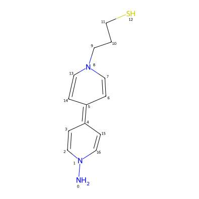 NN1C=CC(=C2C=CN(CCCS)C=C2)C=C1